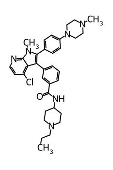 CCCN1CCC(NC(=O)c2cccc(-c3c(-c4ccc(N5CCN(C)CC5)cc4)n(C)c4nccc(Cl)c34)c2)CC1